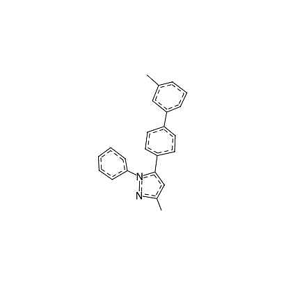 Cc1cccc(-c2ccc(-c3cc(C)nn3-c3ccccc3)cc2)c1